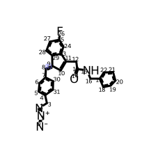 [N-]=[N+]=NCc1ccc(/C=C2\C=C(CC(=O)NCc3ccccc3)c3cc(F)ccc32)cc1